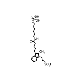 Cc1c(CCCCC(=O)NCCCCCCOP(=O)(O)O)c2ccccc2n1CCCS(=O)(=O)O